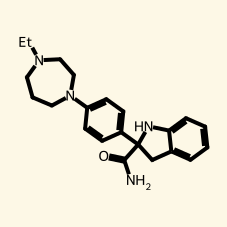 CCN1CCCN(c2ccc(C3(C(N)=O)Cc4ccccc4N3)cc2)CC1